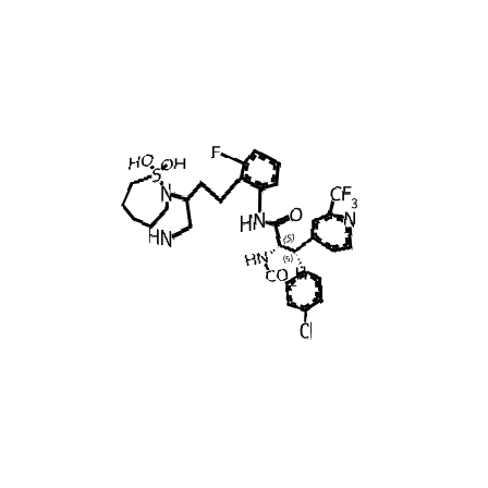 O=C(O)N[C@H](C(=O)Nc1cccc(F)c1CCC1CNC2CCCS(O)(O)N1C2)[C@@H](c1ccc(Cl)cc1)c1ccnc(C(F)(F)F)c1